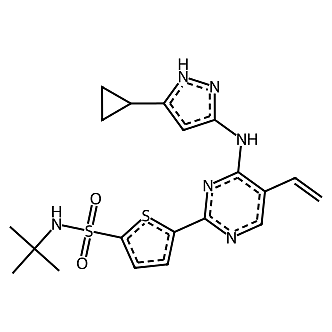 C=Cc1cnc(-c2ccc(S(=O)(=O)NC(C)(C)C)s2)nc1Nc1cc(C2CC2)[nH]n1